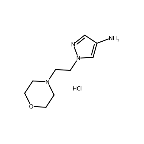 Cl.Nc1cnn(CCN2CCOCC2)c1